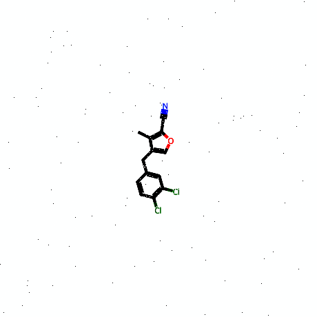 Cc1c(Cc2ccc(Cl)c(Cl)c2)coc1C#N